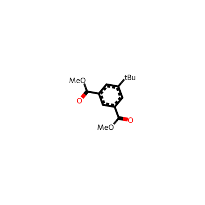 COC(=O)c1cc(C(=O)OC)cc(C(C)(C)C)c1